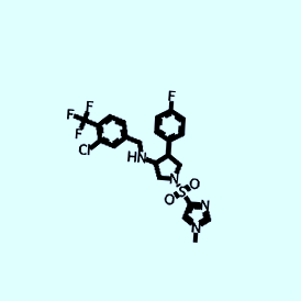 Cn1cnc(S(=O)(=O)N2CC(NCc3ccc(C(F)(F)F)c(Cl)c3)C(c3ccc(F)cc3)C2)c1